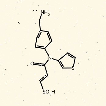 NCc1ccc(N(C(=O)C=CS(=O)(=O)O)c2ccsc2)cc1